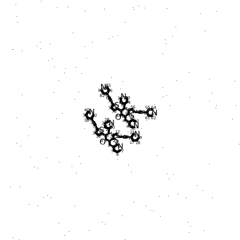 O=C(C(Cc1cccnc1)c1ccc(C#Cc2cccnc2)s1)C(Cc1cccnc1)c1ccc(C#Cc2cccnc2)s1.O=C(C(Cc1ccncc1)c1ccc(C#Cc2ccncc2)s1)C(Cc1ccncc1)c1ccc(C#Cc2ccncc2)s1